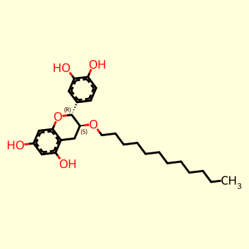 CCCCCCCCCCCCO[C@H]1Cc2c(O)cc(O)cc2O[C@@H]1c1ccc(O)c(O)c1